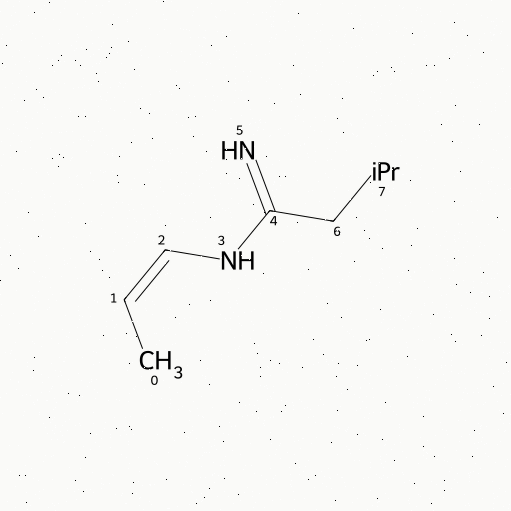 C/C=C\NC(=N)CC(C)C